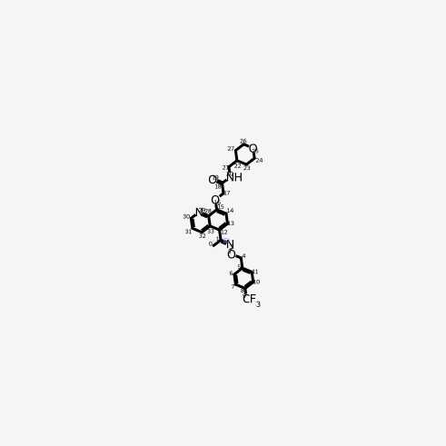 C/C(=N\OCc1ccc(C(F)(F)F)cc1)c1ccc(OCC(=O)NCC2CCOCC2)c2ncccc12